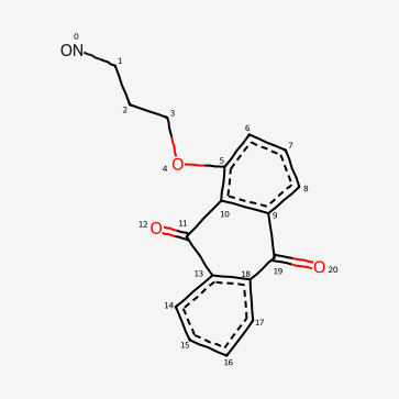 O=NCCCOc1cccc2c1C(=O)c1ccccc1C2=O